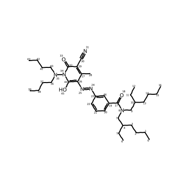 CCCCC(CC)CN(CC(CC)CCCC)C(=O)c1cccc(/N=N/c2c(C)c(C#N)c(=O)n(N(CCCC)CCCC)c2O)c1